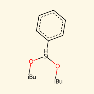 CCC(C)O[SiH](OC(C)CC)c1ccccc1